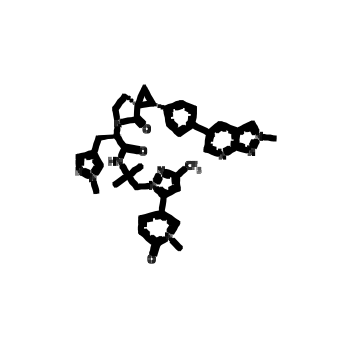 Cn1cc(C[C@H](C(=O)NC(C)(C)Cn2nc(C(F)(F)F)cc2-c2ccc(=O)n(C)c2)N2CC[C@@]3(C[C@@H]3c3ccc(-c4cnc5nn(C)cc5c4)cc3)C2=O)cn1